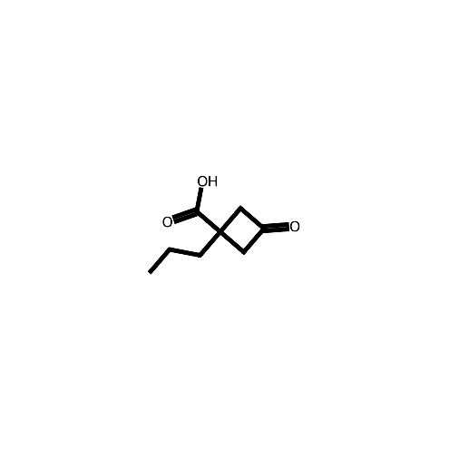 CCCC1(C(=O)O)CC(=O)C1